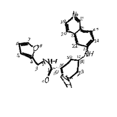 O=C(NCc1ccco1)[C@@H]1C[C@@H](Nc2ccc3cnccc3c2)CN1